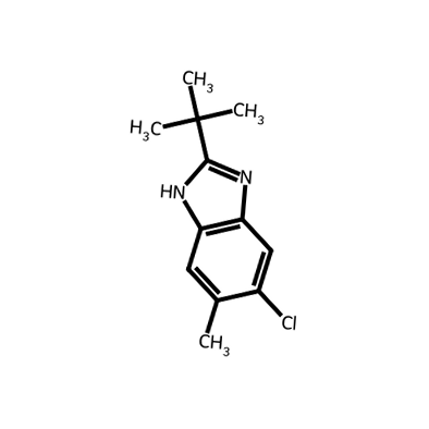 Cc1cc2[nH]c(C(C)(C)C)nc2cc1Cl